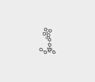 c1ccc(-c2cccc(-c3nc(-c4ccccc4)nc(-c4ccc(-c5ccc6c(c5)oc5cc(C7(c8ccccc8)c8ccccc8-c8ccccc87)ccc56)cc4)n3)c2)cc1